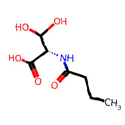 CCCC(=O)N[C@H](C(=O)O)C(O)O